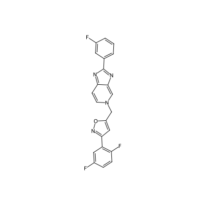 Fc1cccc(-c2nc3ccn(Cc4cc(-c5cc(F)ccc5F)no4)cc-3n2)c1